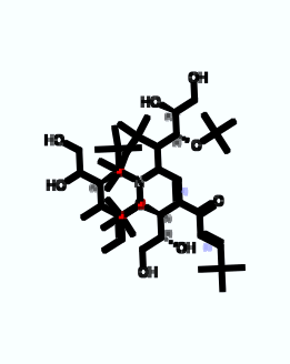 CC=C(CN(C(/C=C(/C(=O)/C=C/C(C)(C)C)[C@H](OC(C)(C)C)[C@H](O)CO)C([C@@H](OC(C)(C)C)[C@@H](O)CO)C(C)(C)C)C(C)(C)C)C(C)[C@H](OC(C)(C)C)C(O)CO